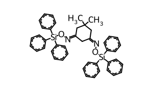 CC1(C)CC(=NO[Si](c2ccccc2)(c2ccccc2)c2ccccc2)CC(=NO[Si](c2ccccc2)(c2ccccc2)c2ccccc2)C1